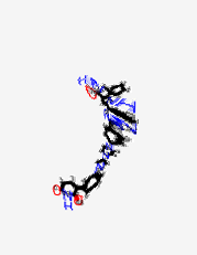 O=C1CCC(c2cccc(N3CC(N4CCN(c5ccc(-c6nccc(-c7cc8c([nH]7)C7(CCCC7)CNC8=O)n6)cc5)CC4)C3)c2)C(=O)N1